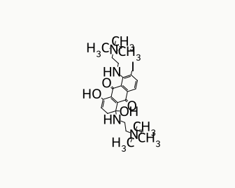 C[N+](C)(C)CCNc1c(I)ccc2c1C(=O)C1=C(C2=O)C(O)(NCC[N+](C)(C)C)CC=C1O